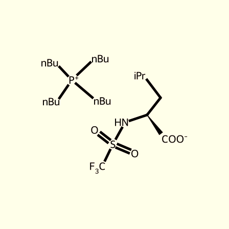 CC(C)C[C@H](NS(=O)(=O)C(F)(F)F)C(=O)[O-].CCCC[P+](CCCC)(CCCC)CCCC